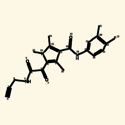 C#CCNC(=O)C(=O)c1c(C)c(C(=O)Nc2ccc(F)c(C)c2)c(C)n1C